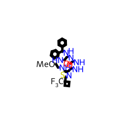 COCCNc1sc(C2(C(F)(F)F)CCC2)nc1C(=N)OC(=N)NC1N=C(c2ccccc2)c2ccccc2NC1=O